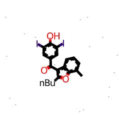 CCCCc1oc2c(C)cccc2c1C(=O)c1cc(I)c(O)c(I)c1